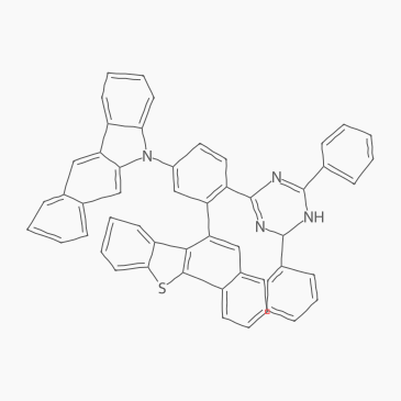 c1ccc(C2=NC(c3ccc(-n4c5ccccc5c5cc6ccccc6cc54)cc3-c3cc4ccccc4c4sc5ccccc5c34)=NC(c3ccccc3)N2)cc1